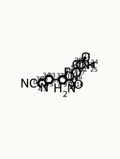 N#Cc1cnc2cc(-c3ccc(C(C(N)=O)N4CCC5(CC4)CN(C4CC4)C(=O)CO5)c(F)c3)ccc2c1